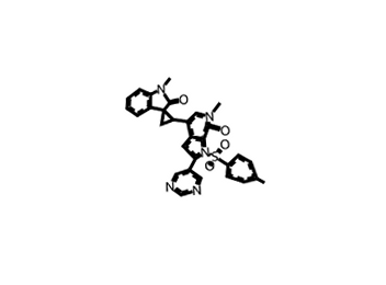 Cc1ccc(S(=O)(=O)n2c(-c3cncnc3)cc3c(C4CC45C(=O)N(C)c4ccccc45)cn(C)c(=O)c32)cc1